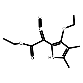 CCOC(=O)C(=C=O)c1[nH]c(C)c(C)c1OCC